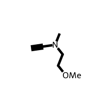 C#CN(C)CCOC